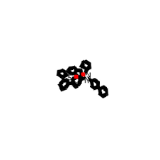 c1ccc(-c2ccc(-c3nc(-c4ccccc4)nc(-c4ccc5c(c4)S(c4ccccc4)(c4cccc6ccccc46)c4ccccc4-5)n3)cc2)cc1